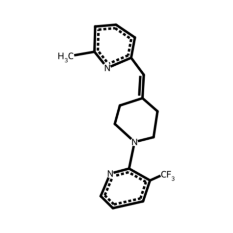 Cc1cccc(C=C2CCN(c3ncccc3C(F)(F)F)CC2)n1